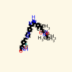 Cc1cc(-c2n[nH]c3ncc(-c4ccc(N5CCN(CCc6ccc(C7CCC(=O)NC7=O)c(F)c6)CC5)cc4)cc23)ccc1[C@@H](C)CCC(=O)c1noc(C(C)(C)C)n1